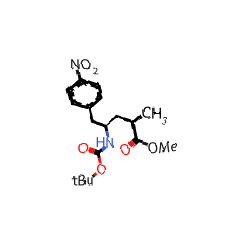 COC(=O)C(C)C[C@H](Cc1ccc([N+](=O)[O-])cc1)NC(=O)OC(C)(C)C